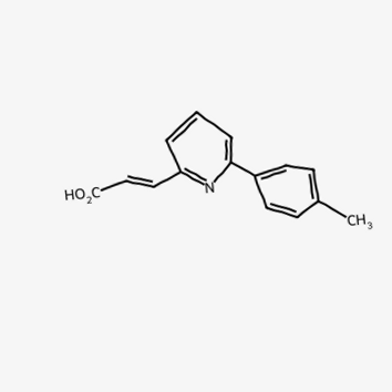 Cc1ccc(-c2cccc(C=CC(=O)O)n2)cc1